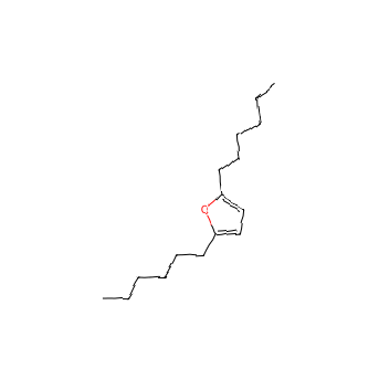 CCCCCCc1ccc(CCCCCC)o1